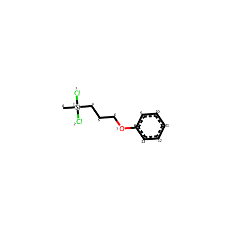 C[Si](Cl)(Cl)CCCOc1ccccc1